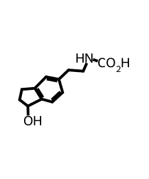 O=C(O)NCCc1ccc2c(c1)CCC2O